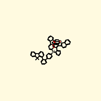 CC1(C)c2ccccc2-c2cccc(-c3ccccc3-c3ccc(N(c4ccc5c(c4)C4(c6ccccc6-5)C5CC6CC(C5)CC4C6)c4ccccc4-c4cccc5oc6c7ccccc7ccc6c45)cc3)c21